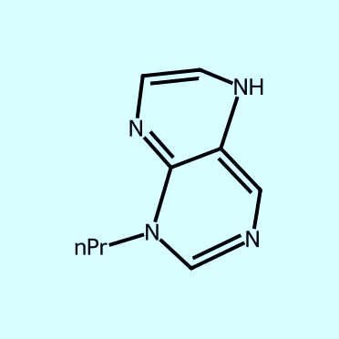 CCCN1C=NC=C2NC=CN=C21